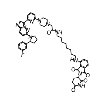 O=C(CN1CCN(c2cccc(-c3cnc4ccc(N5CCCC5c5cccc(F)c5)nn34)n2)CC1)NCCCCCCCCNc1cccc2c1C(=O)N(C1CCC(=O)NC1=O)C2=O